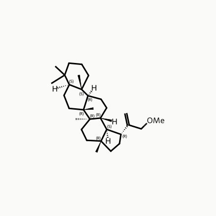 C=C(COC)[C@@H]1CC[C@]2(C)CC[C@]3(C)[C@H](CC[C@@H]4[C@@]5(C)CCCC(C)(C)[C@@H]5CC[C@]43C)[C@@H]12